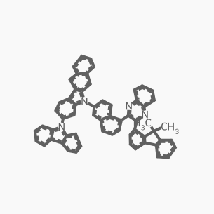 CC1(C)c2ccccc2-c2cccc(-c3nc4ccccc4nc3-c3cccc4cc(-n5c6cc(-n7c8ccccc8c8ccccc87)ccc6c6cc7ccccc7cc65)ccc34)c21